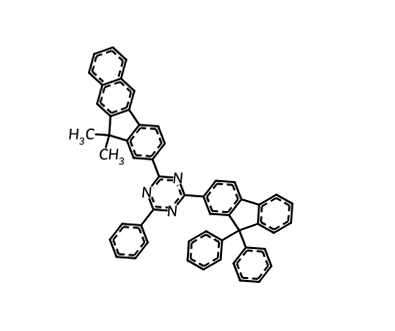 CC1(C)c2cc(-c3nc(-c4ccccc4)nc(-c4ccc5c(c4)C(c4ccccc4)(c4ccccc4)c4ccccc4-5)n3)ccc2-c2cc3ccccc3cc21